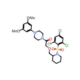 COc1cc(OC)cc(N2CCN(C(=O)COCC3CCCCN3S(=O)(=O)c3c(Cl)cc(Cl)cc3Cl)CC2)c1